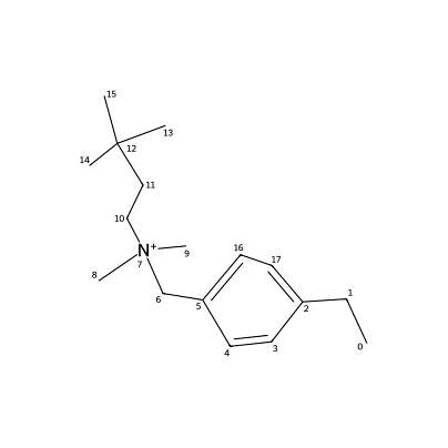 CCc1ccc(C[N+](C)(C)CCC(C)(C)C)cc1